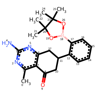 Cc1nc(N)nc2c1C(=O)CC(c1ccccc1B1OC(C)(C)C(C)(C)O1)C2